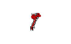 [N-]=[N+]=NCCOCCOCCOCCOCCOCCNC(=O)C(Cc1cn(C(c2ccccc2)(c2ccccc2)c2ccccc2)cn1)N(CC1c2ccccc2-c2ccccc21)C(=O)O